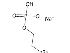 CCCCCCOP(=O)([O-])O.[Na+]